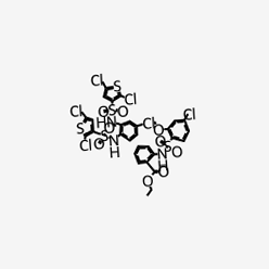 CCOC(=O)c1ccccc1NS(=O)(=O)c1ccc(Cl)cc1OC.O=S(=O)(Nc1ccc(Cl)cc1NS(=O)(=O)c1cc(Cl)sc1Cl)c1cc(Cl)sc1Cl